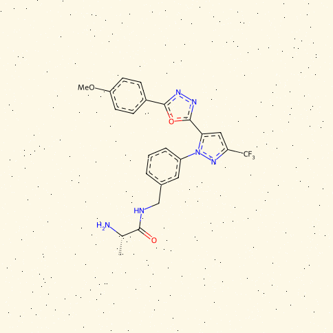 COc1ccc(-c2nnc(-c3cc(C(F)(F)F)nn3-c3cccc(CNC(=O)[C@H](C)N)c3)o2)cc1